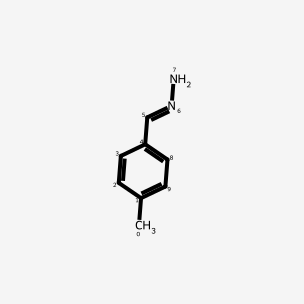 Cc1ccc(C=NN)cc1